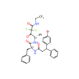 CC(C)[C@H](NC(=O)[C@H](Cc1ccccc1)NC(=O)CC(c1ccccc1)c1ccc(Br)cc1)C(=O)C(F)(F)C(=O)NCC(F)(F)F